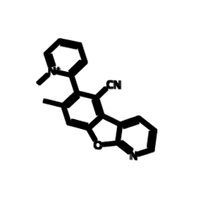 Cc1cc2oc3ncccc3c2c(C#N)c1-c1cccc[n+]1C